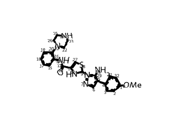 COc1ccc(-c2cnn(C3NC(C(=O)Nc4ccccc4N4CCNCC4)=CS3)c2N)cc1